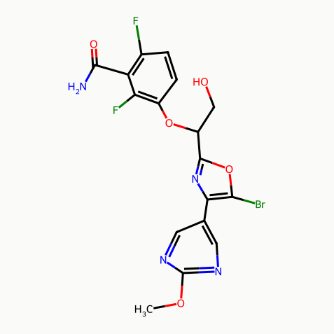 COc1ncc(-c2nc(C(CO)Oc3ccc(F)c(C(N)=O)c3F)oc2Br)cn1